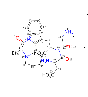 CCC(C(=O)n1cc(CC(C(=O)O)N(C(=O)CN)C(=O)C(N)CC(=O)O)c2ccccc21)N1CCCCC1